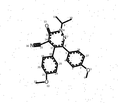 COc1ccc(-c2nn(C(C)C)c(=O)c(C#N)c2-c2ccc(OC)cc2)cc1